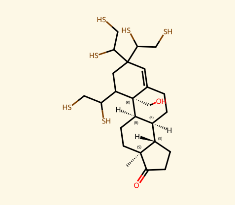 C[C@]12CC[C@@H]3[C@@H](CCC4=CC(C(S)CS)(C(S)CS)CC(C(S)CS)[C@@]43CO)[C@@H]1CCC2=O